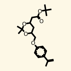 C=C(C)c1ccc(OCC2CC(CC(=O)OC(C)(C)C)OC(C)(C)O2)cc1